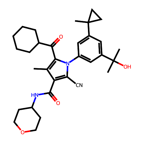 Cc1c(C(=O)NC2CCOCC2)c(C#N)n(-c2cc(C(C)(C)O)cc(C3(C)CC3)c2)c1C(=O)C1CCCCC1